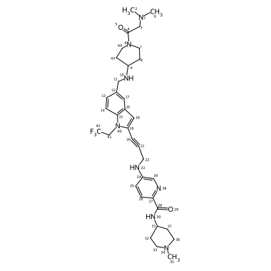 CN(C)CC(=O)N1CCC(NCc2ccc3c(c2)cc(C#CCNc2ccc(C(=O)NC4CCN(C)CC4)nc2)n3CC(F)(F)F)CC1